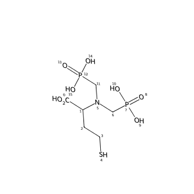 O=C(O)C(CCS)N(CP(=O)(O)O)CP(=O)(O)O